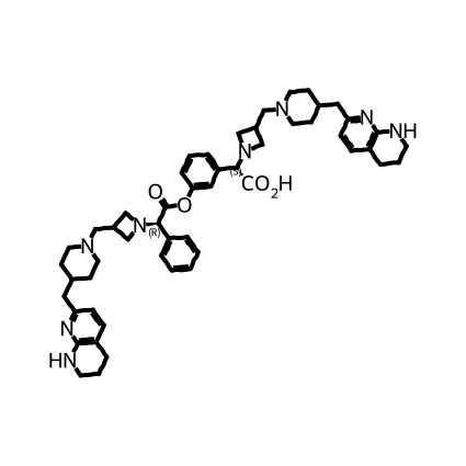 O=C(O)[C@H](c1cccc(OC(=O)[C@@H](c2ccccc2)N2CC(CN3CCC(Cc4ccc5c(n4)NCCC5)CC3)C2)c1)N1CC(CN2CCC(Cc3ccc4c(n3)NCCC4)CC2)C1